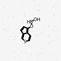 OBOc1ccc2csccc1-2